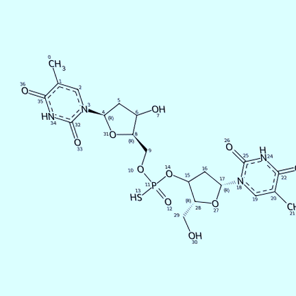 Cc1cn([C@H]2CC(O)[C@@H](COP(=O)(S)OC3C[C@H](n4cc(C)c(=O)[nH]c4=O)O[C@@H]3CO)O2)c(=O)[nH]c1=O